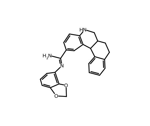 NC(=Nc1cccc2c1OCO2)c1ccc2c(c1)C1c3ccccc3CCC1CN2